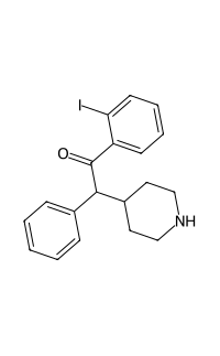 O=C(c1ccccc1I)C(c1ccccc1)C1CCNCC1